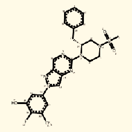 CS(=O)(=O)N1CCN(c2ncc3nn(-c4cc(O)c(F)c(C(F)(F)F)c4)cc3n2)[C@H](Cc2ccccc2)C1